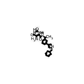 C[C@@H](NC(=O)c1[nH]c(=O)[nH]c(=O)c1N)c1cccc(-c2cnn(Cc3ccccc3)c2)c1